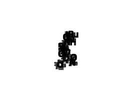 CN(C)C(=O)c1cc(-c2ccccc2)cc(S(=O)(=O)c2csc(CNC(=O)OC(C)(C)C)n2)c1